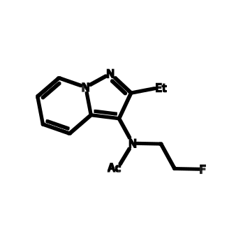 CCc1nn2ccccc2c1N(CCF)C(C)=O